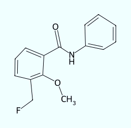 COc1c(CF)cccc1C(=O)Nc1ccccc1